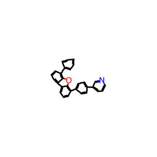 c1ccc(-c2cccc3c2oc2c(-c4ccc(-c5cccnc5)cc4)cccc23)cc1